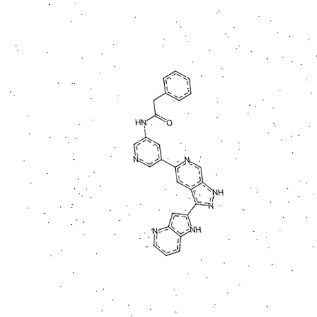 O=C(Cc1ccccc1)Nc1cncc(-c2cc3c(-c4cc5ncccc5[nH]4)n[nH]c3cn2)c1